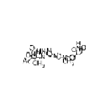 CC(=O)c1c(C)c2cnc(Nc3ccc(N4CCC(N(C)Cc5cccc(C6CCC(=O)NC6=O)c5)CC4)cn3)nc2n(C2CCCC2)c1=O